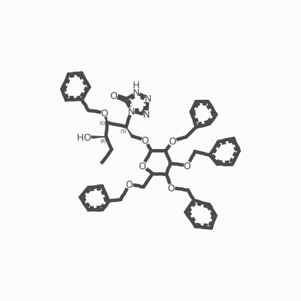 CC[C@@H](O)[C@@H](OCc1ccccc1)[C@H](COC1OC(COCc2ccccc2)C(OCc2ccccc2)C(OCc2ccccc2)C1OCc1ccccc1)n1nn[nH]c1=O